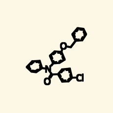 O=C(c1ccc(Cl)cc1)N(c1ccccc1)c1ccc(OCc2ccccc2)cc1